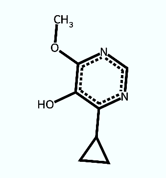 COc1ncnc(C2CC2)c1O